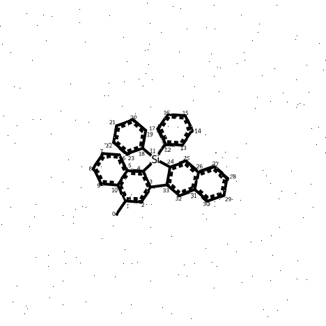 Cc1cc2c(c3ccccc13)[Si](c1ccccc1)(c1ccccc1)c1cc3ccccc3cc1-2